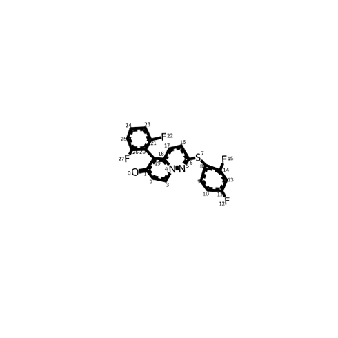 O=c1ccn2nc(Sc3ccc(F)cc3F)ccc2c1-c1c(F)cccc1F